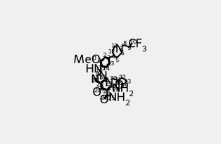 COc1cc(C2CCN(CCC(F)(F)F)CC2)ccc1Nc1ncc2c(=O)c(C(N)=O)c(N)n(CC3CCCO3)c2n1